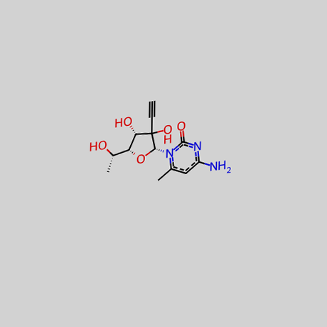 C#CC1(O)[C@@H](O)[C@@H]([C@H](C)O)O[C@H]1n1c(C)cc(N)nc1=O